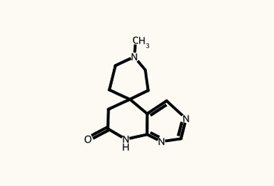 CN1CCC2(CC1)CC(=O)Nc1ncncc12